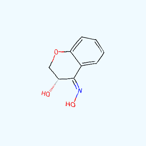 ON=C1c2ccccc2OC[C@H]1O